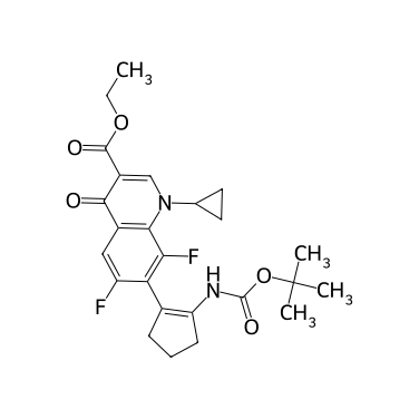 CCOC(=O)c1cn(C2CC2)c2c(F)c(C3=C(NC(=O)OC(C)(C)C)CCC3)c(F)cc2c1=O